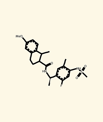 COc1ccc2c(c1)CCC(C(=O)N[C@H](C)c1cc(C)c(NS(C)(=O)=O)cc1F)C2C